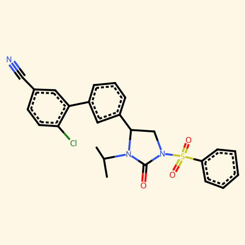 CC(C)N1C(=O)N(S(=O)(=O)c2ccccc2)CC1c1cccc(-c2cc(C#N)ccc2Cl)c1